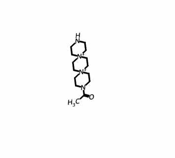 CC(=O)N1CC[N+]2(CC1)CC[N+]1(CCNCC1)CC2